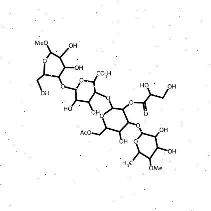 COC1OC(CO)C(OC2OC(C(=O)O)C(OC3OC(COC(C)=O)C(O)C(OC4OC(C)C(OC)C(O)C4O)C3OC(=O)C(O)CO)C(O)C2O)C(O)C1O